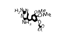 CCC(=O)COc1cc(Cc2cnc(N)nc2N)cc(OC)c1OC